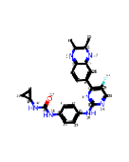 Cc1nc2ccc(-c3nc(Nc4ccc(NC(=O)NC5CC5)cc4)ncc3F)cc2nc1C